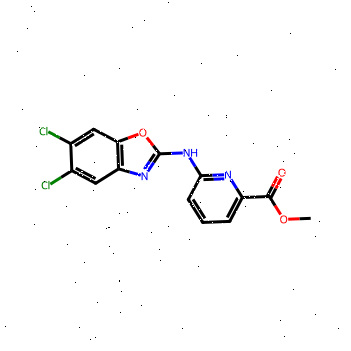 COC(=O)c1cccc(Nc2nc3cc(Cl)c(Cl)cc3o2)n1